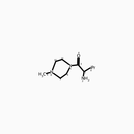 CC(C)C(N)C(=O)N1CCN(C)CC1